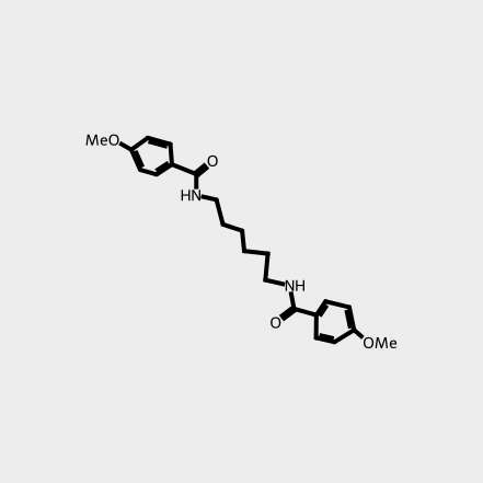 COc1ccc(C(=O)NCCCCCCNC(=O)c2ccc(OC)cc2)cc1